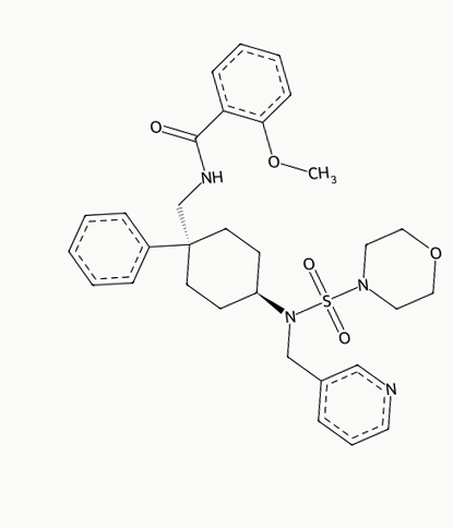 COc1ccccc1C(=O)NC[C@]1(c2ccccc2)CC[C@@H](N(Cc2cccnc2)S(=O)(=O)N2CCOCC2)CC1